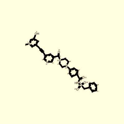 C[n+]1cc(O)cc(C#Cc2cncc(C(=O)N3CCN(c4ccc(C(=O)NS(=O)(=O)Cc5ccccc5)cc4)CC3)c2)c1